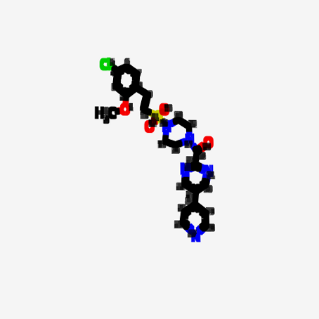 COc1cc(Cl)ccc1C=CS(=O)(=O)N1CCN(C(=O)c2ncc(-c3ccncc3)cn2)CC1